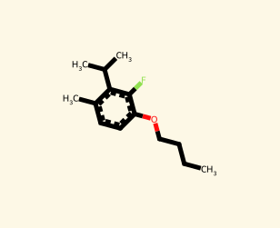 CCCCOc1ccc(C)c(C(C)C)c1F